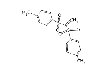 C=C(S(=O)(=O)c1ccc(C)cc1)S(=O)(=O)c1ccc(C)cc1